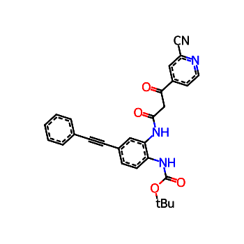 CC(C)(C)OC(=O)Nc1ccc(C#Cc2ccccc2)cc1NC(=O)CC(=O)c1ccnc(C#N)c1